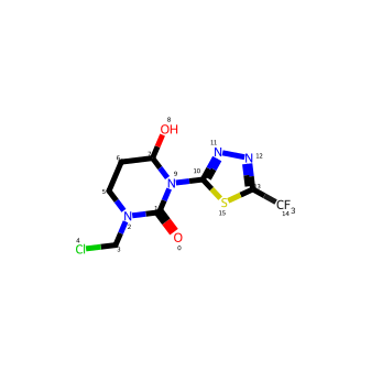 O=C1N(CCl)CCC(O)N1c1nnc(C(F)(F)F)s1